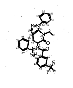 CCN1C(=O)[C@@H](NC(=O)c2cccc(C(F)(F)F)c2)[C@H](c2ccccc2CN)c2cnn(-c3ccccc3)c21